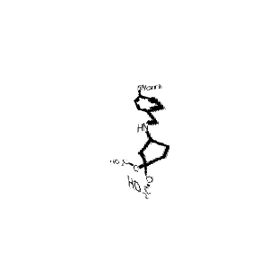 CCCCCCCCCc1ccc(CNC2CCC(OC(=O)O)(OC(=O)O)C2)cc1